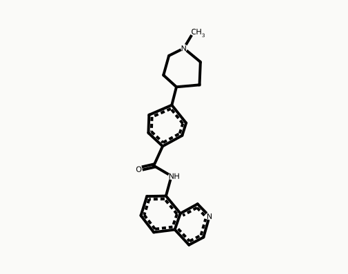 CN1CCC(c2ccc(C(=O)Nc3cccc4ccncc34)cc2)CC1